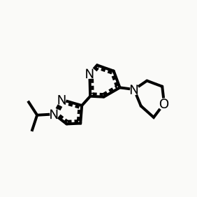 CC(C)n1ccc(-c2cc(N3CCOCC3)ccn2)n1